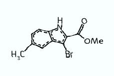 COC(=O)c1[nH]c2ccc(C)cc2c1Br